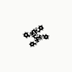 CC(CC1CC2(CN(Cc3ccccc3)C2)NC12CN(Cc1ccccc1)C2)C(=O)N1C2(CCC13CN(Cc1ccccc1)C3=O)CN(Cc1ccccc1)C2